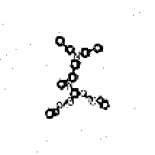 c1ccc(-c2ccc(N(c3ccc(-c4ccccc4)cc3)c3ccc(-c4ccc5c(c4)c4ccccc4n5-c4cc(OCCOC5Cc6ccccc65)cc(OCCOC5Cc6ccccc65)c4)cc3)cc2)cc1